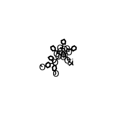 COc1ccc(C(OCCO[C@H]2O[C@H](CO[Si](C)(C)C(C)(C)C)[C@@H](OC(=O)c3ccccc3)[C@H](OC(=O)c3ccccc3)[C@@H]2OC(=O)c2ccccc2)(c2ccccc2)c2ccc(OC)cc2)cc1